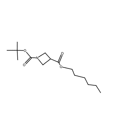 CCCCCCOC(=O)C1CN(C(=O)OC(C)(C)C)C1